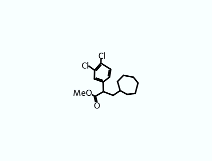 COC(=O)C(CC1CCCCCC1)c1ccc(Cl)c(Cl)c1